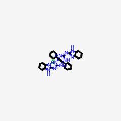 Clc1ccccc1C12N/C(=N\c3nc4ccccc4[nH]3)NC1(c1ccccc1)N/C(=N\c1nc3ccccc3[nH]1)N2